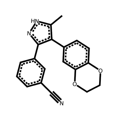 Cc1[nH]nc(-c2cccc(C#N)c2)c1-c1ccc2c(c1)OCCO2